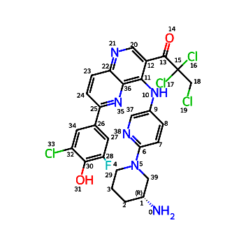 N[C@@H]1CCCN(c2ccc(Nc3c(C(=O)C(Cl)(Cl)CCl)cnc4ccc(-c5cc(F)c(O)c(Cl)c5)nc34)cn2)C1